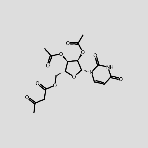 CC(=O)CC(=O)OC[C@H]1O[C@@H](n2ccc(=O)[nH]c2=O)[C@H](OC(C)=O)[C@@H]1OC(C)=O